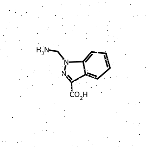 NCn1nc(C(=O)O)c2ccccc21